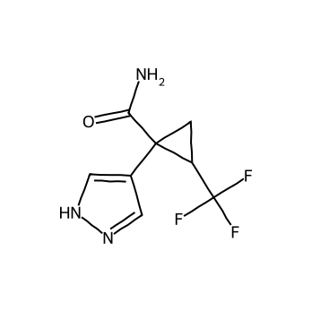 NC(=O)C1(c2cn[nH]c2)CC1C(F)(F)F